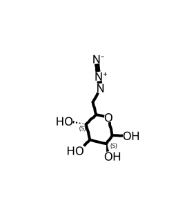 [N-]=[N+]=NCC1OC(O)[C@@H](O)C(O)[C@@H]1O